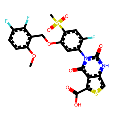 COc1ccc(F)c(F)c1COc1cc(-n2c(=O)[nH]c3csc(C(=O)O)c3c2=O)c(F)cc1S(C)(=O)=O